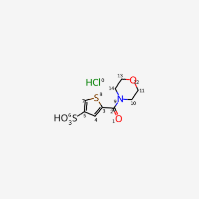 Cl.O=C(c1cc(S(=O)(=O)O)cs1)N1CCOCC1